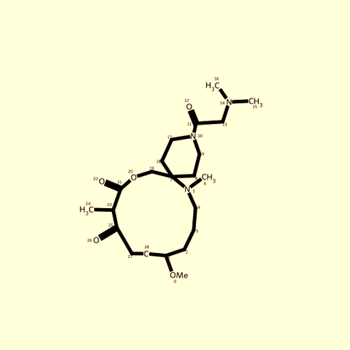 COC1CCCN(C)C2(CCN(C(=O)CN(C)C)CC2)COC(=O)C(C)C(=O)CC1